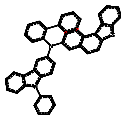 c1ccc(-c2ccccc2N(c2ccc3c(ccc4sc5ccccc5c43)c2)c2ccc3c(c2)c2ccccc2n3-c2ccccc2)cc1